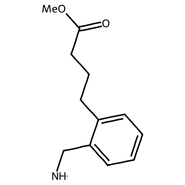 COC(=O)CCCc1ccccc1C[NH]